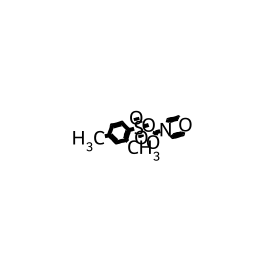 Cc1ccc(S(=O)(=O)OC(=O)N2C=COC=C2)c(C)c1